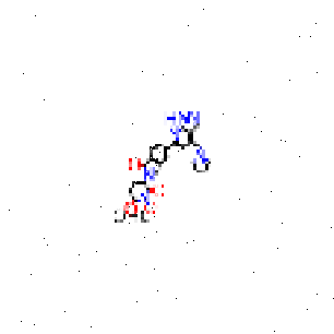 O=CON1C(=O)CCC(N2Cc3cc(-c4cc(CN5CCCC5)c5cn[nH]c5n4)ccc3C2=O)C1=O